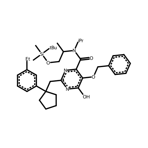 CCc1cccc(C2(Cc3nc(O)c(OCc4ccccc4)c(C(=O)N(C(C)C)C(C)CO[Si](C)(C)C(C)(C)C)n3)CCCC2)c1